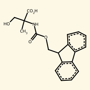 CC(CO)(NC(=O)OCC1c2ccccc2-c2ccccc21)C(=O)O